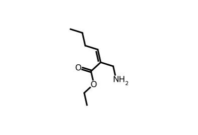 CCCC=C(CN)C(=O)OCC